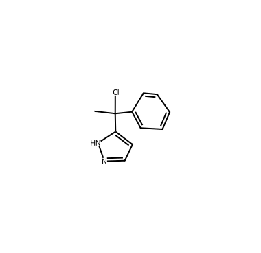 CC(Cl)(c1ccccc1)c1ccn[nH]1